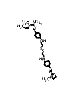 C/C=C\N(C)C(=N/C)/N=N/c1ccc(NCCSSCCNc2ccc(/N=N/c3nccn3C)cc2)cc1